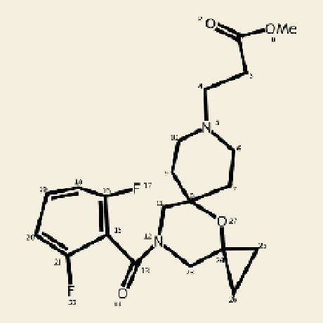 COC(=O)CCN1CCC2(CC1)CN(C(=O)c1c(F)cccc1F)CC1(CC1)O2